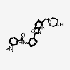 CN(C)c1cccc(C(=O)Nc2cccc(-c3nc4nc(CN5CCNCC5)ccc4o3)c2)c1